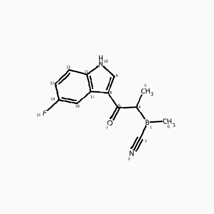 CB(C#N)C(C)C(=O)c1c[nH]c2ccc(F)cc12